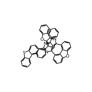 c1ccc(-c2nc(-c3ccc4sc5ccccc5c4c3)nc(-c3cccc4oc5cccc(-c6nc(-c7ccccc7)c7oc8ccccc8c7n6)c5c34)n2)cc1